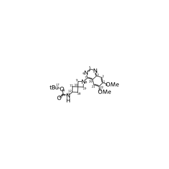 COc1cc2ncnc(N3CC4(CC(NC(=O)OC(C)(C)C)C4)C3)c2cc1OC